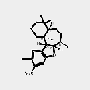 COc1cc2c(cc1C)[C@H]1[C@@H](O2)[C@H](C)CC[C@H]2C(C)(C)CCC[C@]12C